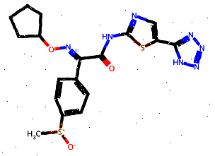 C[S+]([O-])c1ccc(/C(=N\OC2CCCC2)C(=O)Nc2ncc(-c3nnn[nH]3)s2)cc1